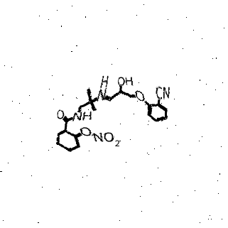 CC(C)(CNC(=O)C1CCCCC1O[N+](=O)[O-])NCC(O)COc1ccccc1C#N